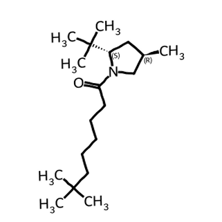 C[C@@H]1C[C@@H](C(C)(C)C)N(C(=O)CCCCCC(C)(C)C)C1